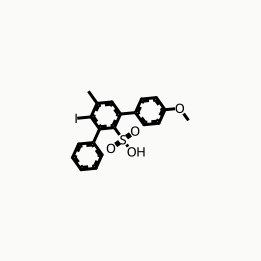 COc1ccc(-c2cc(C)c(I)c(-c3ccccc3)c2S(=O)(=O)O)cc1